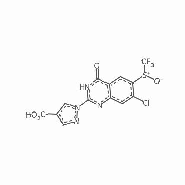 O=C(O)c1cnn(-c2nc3cc(Cl)c([S+]([O-])C(F)(F)F)cc3c(=O)[nH]2)c1